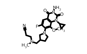 COc1c(N2CCC(CN(C)CCC#N)C2)c(F)cc2c(=O)n(N)c(=O)n(C3CC3)c12